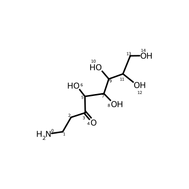 NCCC(=O)C(O)C(O)C(O)C(O)CO